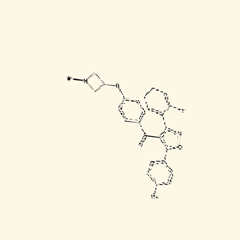 C=C(c1ccc(OC2CN(CCC)C2)cc1)c1c(C2=CCCC=C2Cl)noc1-c1ccc(O)cc1